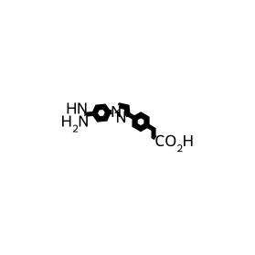 N=C(N)c1ccc(-n2ccc(-c3ccc(CCC(=O)O)cc3)n2)cc1